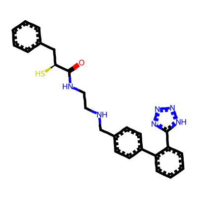 O=C(NCCNCc1ccc(-c2ccccc2-c2nnn[nH]2)cc1)[C@@H](S)Cc1ccccc1